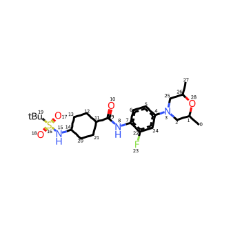 CC1CN(c2ccc(NC(=O)C3CCC(NS(=O)(=O)C(C)(C)C)CC3)c(F)c2)CC(C)O1